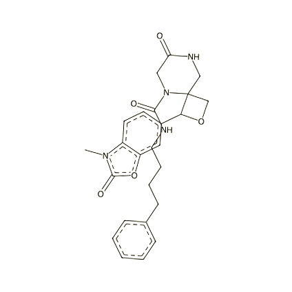 Cn1c(=O)oc2cc(C3OCC34CNC(=O)CN4C(=O)NCCCCc3ccccc3)ccc21